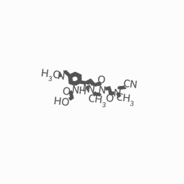 C/N=C/c1ccc(-c2cc3n(n2)[C@@H](C)CN(CC(=O)N(C)CCC#N)C3=O)c(NC(=O)CO)c1